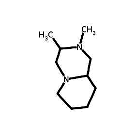 CC1CN2CCCCC2CN1C